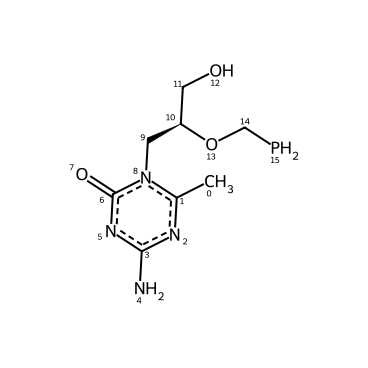 Cc1nc(N)nc(=O)n1C[C@@H](CO)OCP